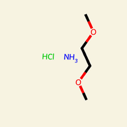 COCCOC.Cl.N